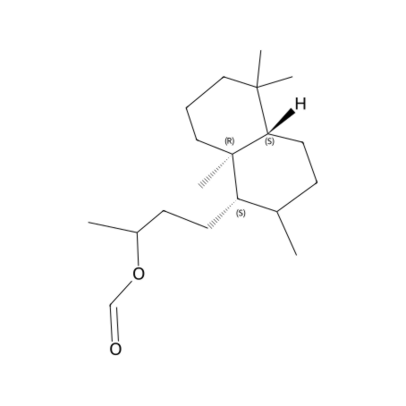 CC(CC[C@H]1C(C)CC[C@H]2C(C)(C)CCC[C@]12C)OC=O